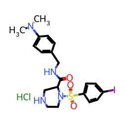 CN(C)c1ccc(CNC(=O)C2CNCCN2S(=O)(=O)c2ccc(I)cc2)cc1.Cl